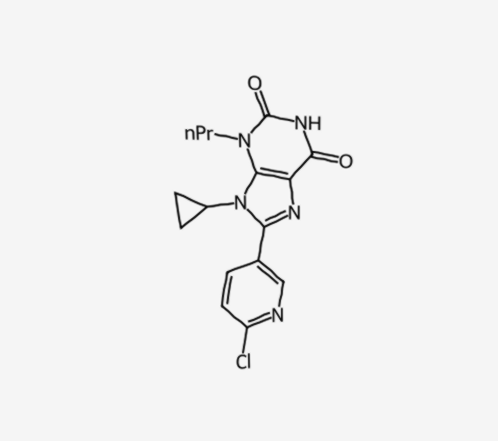 CCCn1c(=O)[nH]c(=O)c2nc(-c3ccc(Cl)nc3)n(C3CC3)c21